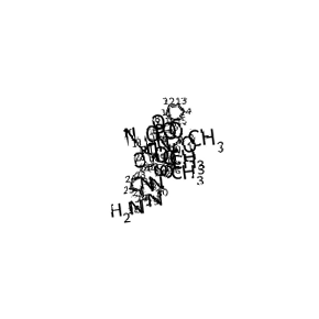 COC(=O)[C@H](C)N[P@@](=O)(Oc1ccccc1)OC1[C@@]2(C#N)O[C@@H](c3ccc4c(N)ncnn34)[C@H](OC(C)=O)[C@@]12OC(C)=O